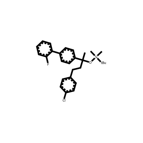 CC(CCc1ccc(Cl)cc1)(O[Si](C)(C)C(C)(C)C)c1ccc(-c2ccccc2F)cc1